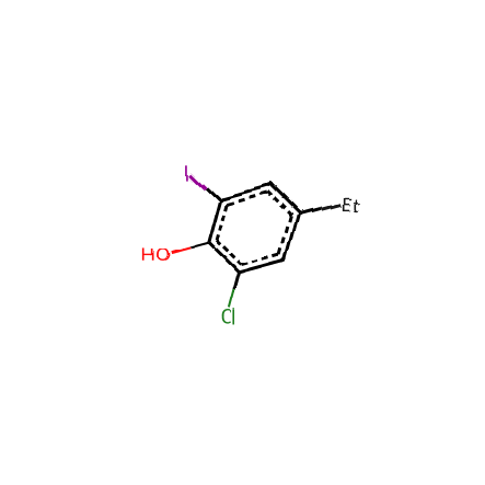 [CH2]Cc1cc(Cl)c(O)c(I)c1